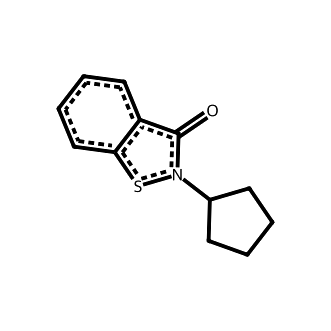 O=c1c2ccccc2sn1C1CCCC1